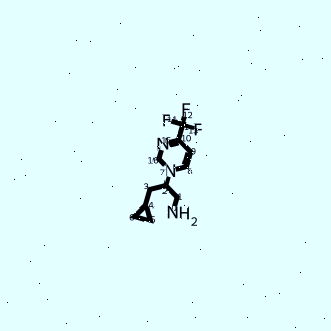 NCC(CC1CC1)N1C=CC(C(F)(F)F)=NC1